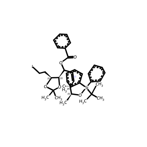 C[C@H](/C=C\C(OC(=O)c1ccccc1)[C@H]1OC(C)(C)O[C@H]1CCI)[C@H](C)O[Si](c1ccccc1)(c1ccccc1)C(C)(C)C